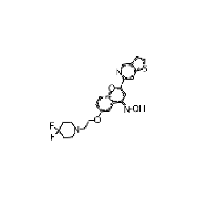 ON=c1cc(-c2cc3sccc3cn2)oc2ccc(OCCN3CCC(F)(F)CC3)cc12